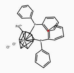 [Cl-].[Cl-].[Pd+2][C]12[CH]3[CH]4[C]5(P(c6ccccc6)c6ccccc6)[C]1(P(c1ccccc1)c1ccccc1)[Fe]34251678[CH]2[CH]1[CH]6[CH]7[CH]28